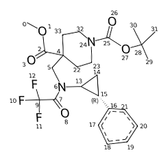 COC(=O)C1(CN(C(=O)C(F)(F)F)C2C[C@@H]2c2ccccc2)CCN(C(=O)OC(C)(C)C)CC1